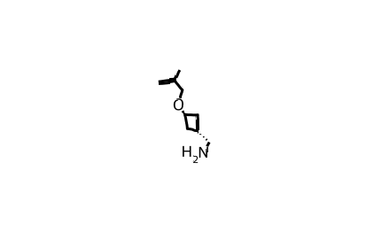 C=C(C)CO[C@H]1C[C@H](CN)C1